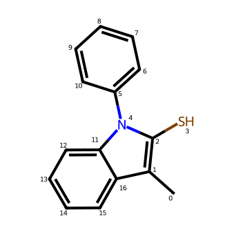 Cc1c(S)n(-c2ccccc2)c2ccccc12